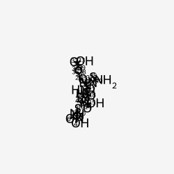 Cn1nc(O)c(=O)nc1SCC1=C(C(=O)O)N2C(=O)[C@@H](NC(=O)C(=NOCc3ccc(C(=O)O)cc3)c3csc(N)n3)[C@@H]2SC1